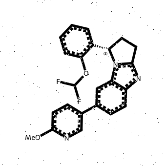 COc1ccc(-c2ccc3nc4n(c3c2)[C@H](c2ccccc2OC(F)F)CC4)cn1